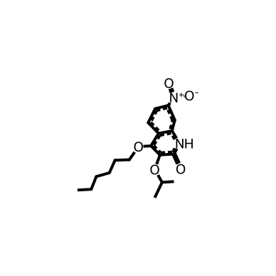 CCCCCCOc1c(OC(C)C)c(=O)[nH]c2cc([N+](=O)[O-])ccc12